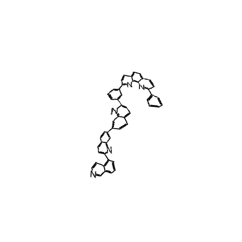 c1ccc(-c2ccc3ccc4ccc(-c5cccc(-c6ccc7ccc(-c8ccc9ccc(-c%10cccc%11cnccc%10%11)nc9c8)cc7n6)c5)nc4c3n2)cc1